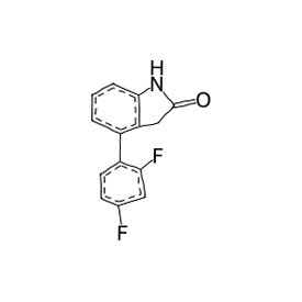 O=C1Cc2c(cccc2-c2ccc(F)cc2F)N1